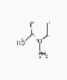 CCO.CCOP